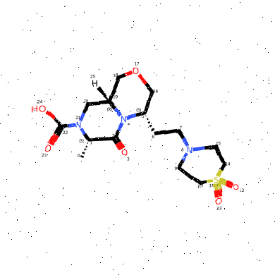 C[C@H]1C(=O)N2[C@@H](CCN3CCS(=O)(=O)CC3)COC[C@H]2CN1C(=O)O